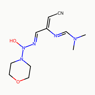 CN(C)C=NC(C=NN(O)N1CCOCC1)=CC#N